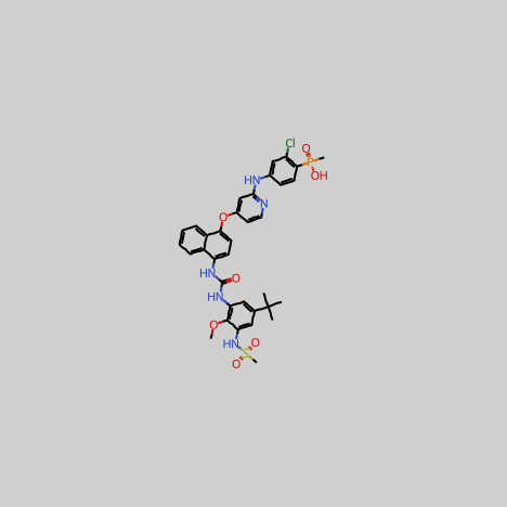 COc1c(NC(=O)Nc2ccc(Oc3ccnc(Nc4ccc(P(C)(=O)O)c(Cl)c4)c3)c3ccccc23)cc(C(C)(C)C)cc1NS(C)(=O)=O